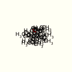 CC(C)(C)c1ccc(N2c3cc4c(cc3B3c5sc6cc7c(cc6c5N(c5ccc(C(C)(C)C)cc5-c5ccccc5)c5cc(C(C)(C)C)cc2c53)C(C)(C)CCC7(C)C)C(C)(C)CCC4(C)C)cc1